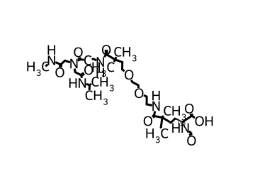 CCC(C)(CC[C@H](NC=O)C(=O)O)C(=O)NCCOCCOCCC(C)(C)C(=O)NCCC(=O)N(CC(=O)NC)CC(=O)NC(C)C